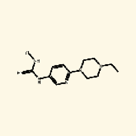 CCN1CCN(c2ccc(NC(=N)NCl)cn2)CC1